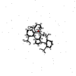 CC(C)c1cccc(C(C)C)c1-n1ccn(-c2c(C(C)C)cccc2C(C)C)[c]1=[Pd]([Cl])[N]1C=CC=C(Cl)C1